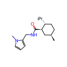 CC(C)[C@@H]1CC[C@@H](C)C[C@H]1C(=O)NCc1cccn1C